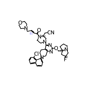 N#CC[C@H]1CN(c2nc(OC[C@@]34CCCN3C[C@H](F)C4)nc3c2CCN(c2cccc4cccc(Cl)c24)C3)CCN1C(=O)/C=C/CN1CCOCC1